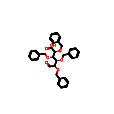 O=C[C@H](OCc1ccccc1)[C@@H](OCc1ccccc1)[C@H](OCc1ccccc1)[C@H](OCc1ccccc1)C(=O)O